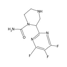 NC(=O)N1CCNCC1c1nc(F)c(F)c(F)n1